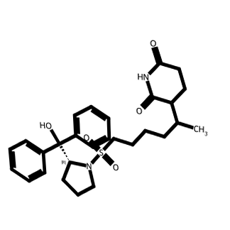 CC(CCCCS(=O)(=O)N1CCC[C@@H]1C(O)(c1ccccc1)c1ccccc1)C1CCC(=O)NC1=O